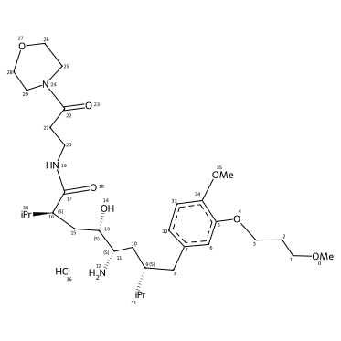 COCCCOc1cc(C[C@@H](C[C@H](N)[C@@H](O)C[C@H](C(=O)NCCC(=O)N2CCOCC2)C(C)C)C(C)C)ccc1OC.Cl